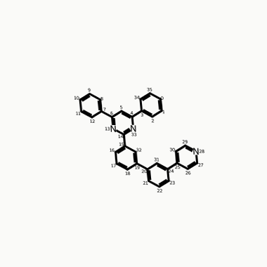 c1ccc(-c2cc(-c3ccccc3)nc(-c3cccc(-c4cccc(-c5ccncc5)c4)c3)n2)cc1